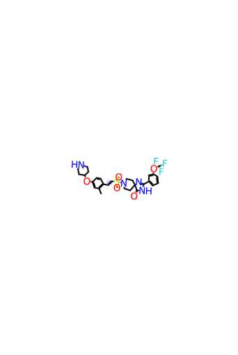 Cc1cc(OC2CCNCC2)ccc1/C=C/S(=O)(=O)N1CCC2(CC1)N=C(c1cccc(OC(F)(F)F)c1)NC2=O